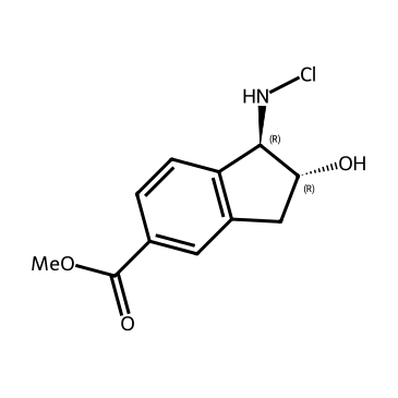 COC(=O)c1ccc2c(c1)C[C@@H](O)[C@@H]2NCl